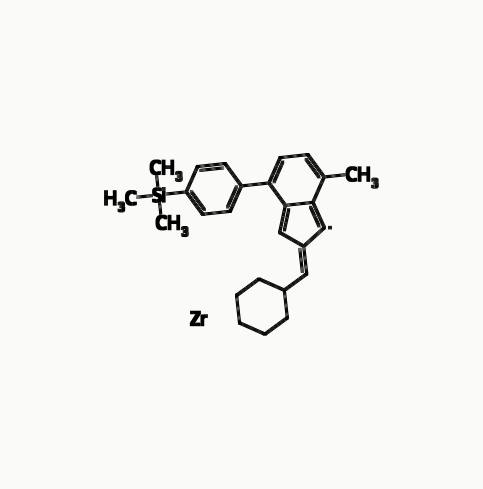 Cc1ccc(-c2ccc([Si](C)(C)C)cc2)c2c1=[C]C(=CC1CCCCC1)C=2.[Zr]